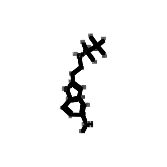 CNc1ccc2oc(CCO[Si](C)(C)C(C)(C)C)cc2c1